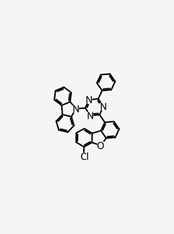 Clc1cccc2c1oc1cccc(-c3nc(-c4ccccc4)nc(-n4c5ccccc5c5ccccc54)n3)c12